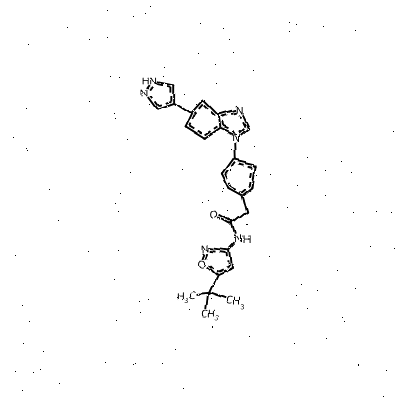 CC(C)(C)c1cc(NC(=O)Cc2ccc(-n3cnc4cc(-c5cn[nH]c5)ccc43)cc2)no1